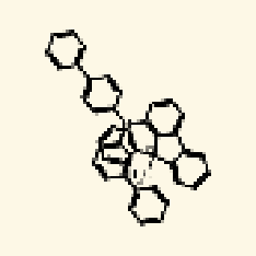 C[C@]1(c2ccccc2)c2ccccc2-c2cccc(N(c3ccc(-c4ccccc4)cc3)c3cccc(-c4ccccc4)c3)c21